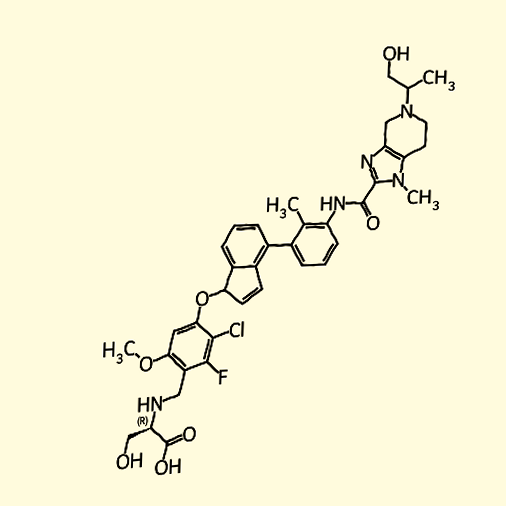 COc1cc(OC2C=Cc3c(-c4cccc(NC(=O)c5nc6c(n5C)CCN(C(C)CO)C6)c4C)cccc32)c(Cl)c(F)c1CN[C@H](CO)C(=O)O